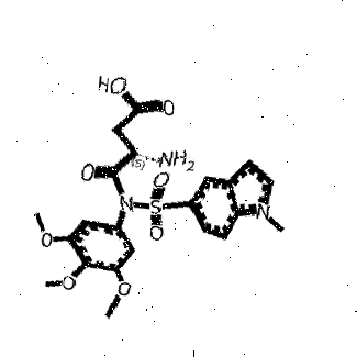 COc1cc(N(C(=O)[C@@H](N)CC(=O)O)S(=O)(=O)c2ccc3c(ccn3C)c2)cc(OC)c1OC